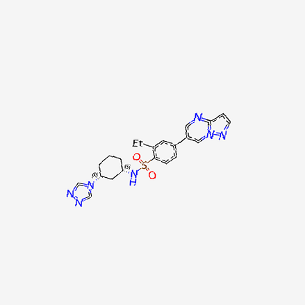 CCc1cc(-c2cnc3ccnn3c2)ccc1S(=O)(=O)N[C@H]1CCC[C@@H](n2cnnc2)C1